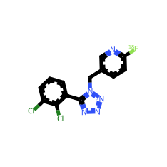 [18F]c1ccc(Cn2nnnc2-c2cccc(Cl)c2Cl)cn1